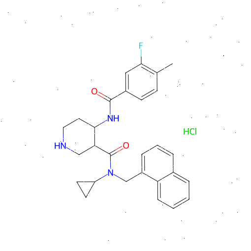 Cc1ccc(C(=O)NC2CCNCC2C(=O)N(Cc2cccc3ccccc23)C2CC2)cc1F.Cl